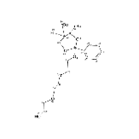 CCCCC1OC(OCCOCCOCCO)(c2ccccc2)OCC1(CC)CCCC